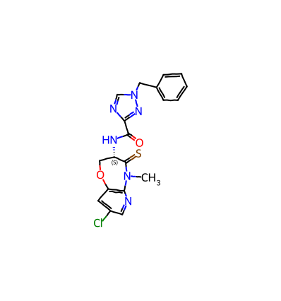 CN1C(=S)[C@@H](NC(=O)c2ncn(Cc3ccccc3)n2)COc2cc(Cl)cnc21